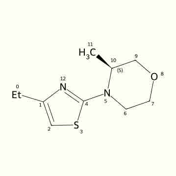 CCc1csc(N2CCOC[C@@H]2C)n1